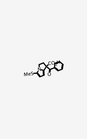 CSc1ccc2n1CCC2(C(=O)O)C(=O)c1ccccc1